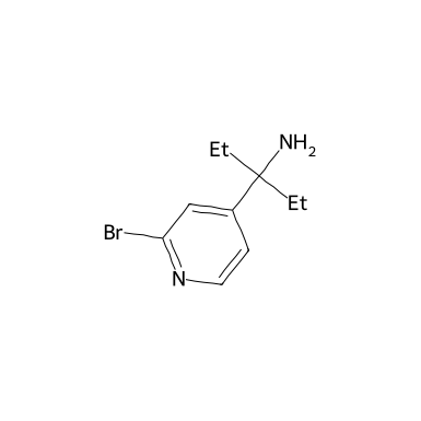 CCC(N)(CC)c1ccnc(Br)c1